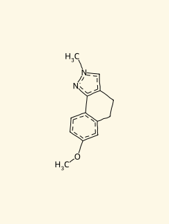 COc1ccc2c(c1)CCc1cn(C)nc1-2